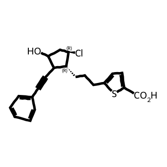 O=C(O)c1ccc(CCC[C@@H]2C(C#Cc3ccccc3)C(O)C[C@H]2Cl)s1